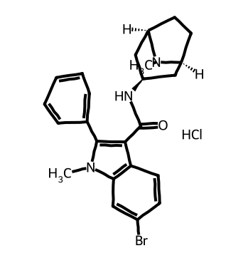 CN1[C@@H]2CC[C@H]1C[C@@H](NC(=O)c1c(-c3ccccc3)n(C)c3cc(Br)ccc13)C2.Cl